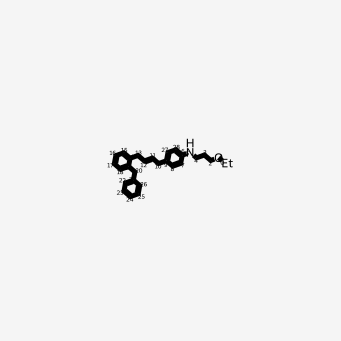 CCOCCCNc1ccc(CC=CCc2ccccc2Cc2ccccc2)cc1